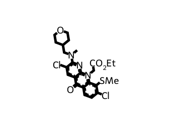 CCOC(=O)Cn1c2nc(N(C)CC3CCOCC3)c(Cl)cc2c(=O)c2ccc(Cl)c(SC)c21